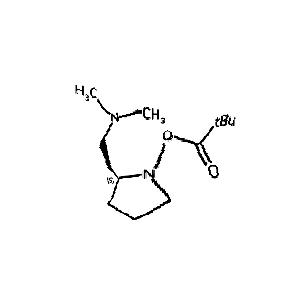 CN(C)C[C@@H]1CCCN1OC(=O)C(C)(C)C